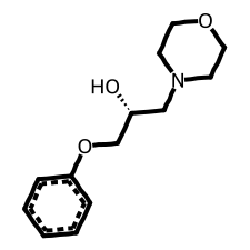 O[C@@H](COc1ccccc1)CN1CCOCC1